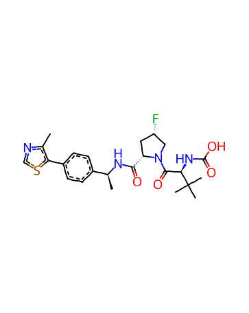 Cc1ncsc1-c1ccc([C@H](C)NC(=O)[C@@H]2C[C@H](F)CN2C(=O)[C@@H](NC(=O)O)C(C)(C)C)cc1